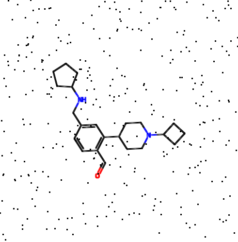 O=Cc1ccc(CNC2CCCC2)cc1C1CCN(C2CCC2)CC1